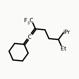 CCC(CCC(=C=C1CCCCC1)C(F)(F)F)C(C)C